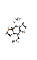 CC(C)Cc1c2ccsc2c(CC(C)C)c2ccsc12